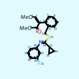 COC=C(C(=O)OC)c1ccccc1CSC(=Nc1cccc(F)c1)C1CC1